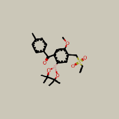 CCS(=O)(=O)Cc1cc(B2OC(C)(C)C(C)(C)O2)c(C(=O)c2ccc(C)cc2)cc1OC